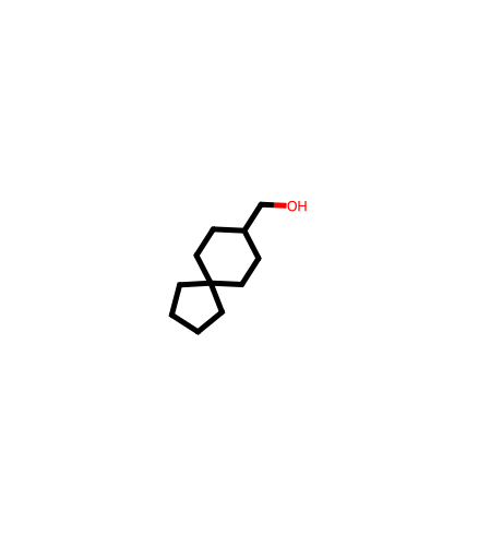 OCC1CCC2(CCCC2)CC1